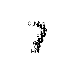 O=C1OC(CO)CN1c1ccc(-c2ccc(OC3COc4nc([N+](=O)[O-])cn4C3)nc2)c(F)c1